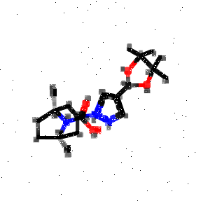 CC1(C)OB(c2cnn(C3C[C@H]4CC[C@@H](C3)N4C(=O)O)c2)OC1(C)C